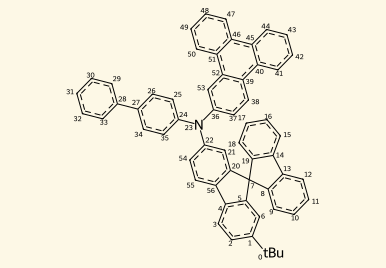 CC(C)(C)c1ccc2c(c1)C1(c3ccccc3-c3ccccc31)c1cc(N(c3ccc(-c4ccccc4)cc3)c3ccc4c5ccccc5c5ccccc5c4c3)ccc1-2